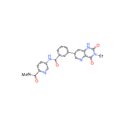 CCn1c(=O)[nH]c2cc(-c3cccc(C(=O)Nc4ccc(C(=O)NC)nc4)c3)cnc2c1=O